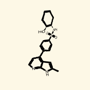 Cc1cc2c(-c3ccc(S(=O)(=O)N[C@H]4CCCC[C@@H]4O)cc3)ccnc2[nH]1